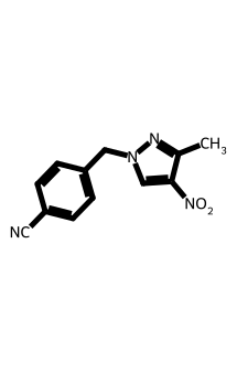 Cc1nn(Cc2ccc(C#N)cc2)cc1[N+](=O)[O-]